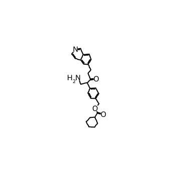 NCC(C(=O)CCc1ccc2cnccc2c1)c1ccc(COC(=O)C2CCCCC2)cc1